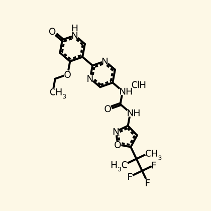 CCOc1cc(=O)[nH]cc1-c1ncc(NC(=O)Nc2cc(C(C)(C)C(F)(F)F)on2)cn1.Cl